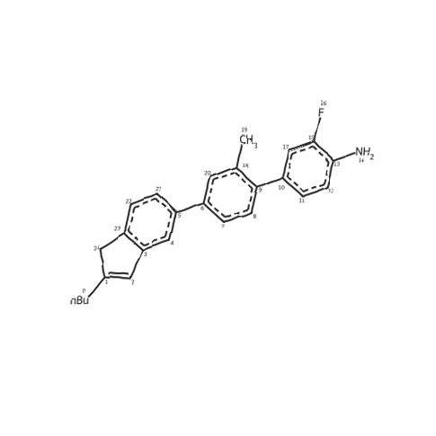 CCCCC1=Cc2cc(-c3ccc(-c4ccc(N)c(F)c4)c(C)c3)ccc2C1